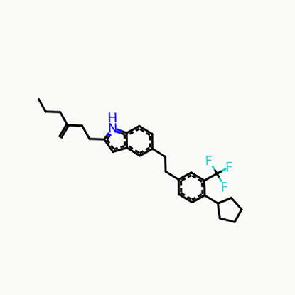 C=C(CCC)CCc1cc2cc(CCc3ccc(C4CCCC4)c(C(F)(F)F)c3)ccc2[nH]1